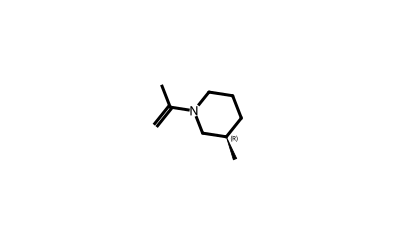 C=C(C)N1CCC[C@@H](C)C1